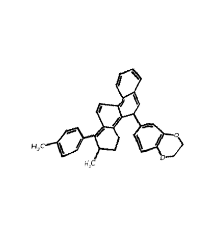 Cc1ccc(C2=c3ccc4c(c3CCC2C)C(c2ccc3c(c2)OCCO3)C=c2ccccc2=4)cc1